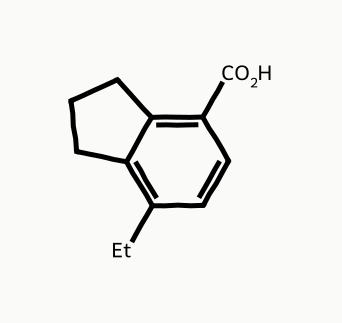 CCc1ccc(C(=O)O)c2c1CCC2